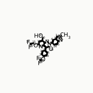 Cn1cc2cc(-n3nc4c(CO)cc(OCC(F)F)nc4c(-c4ccc(OC(F)F)cc4)c3=O)ccc2n1